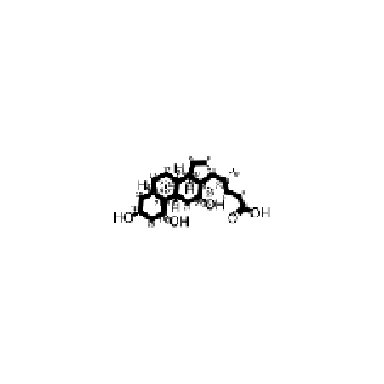 C[C@H](CCC(=O)O)[C@H]1CC[C@H]2[C@@H]3CC[C@@H]4C[C@H](O)C[C@@H](O)[C@]4(C)[C@H]3C[C@H](O)[C@]12C